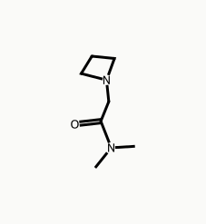 CN(C)C(=O)CN1CCC1